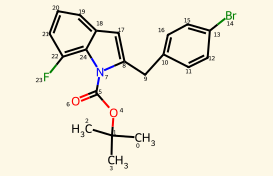 CC(C)(C)OC(=O)n1c(Cc2ccc(Br)cc2)cc2cccc(F)c21